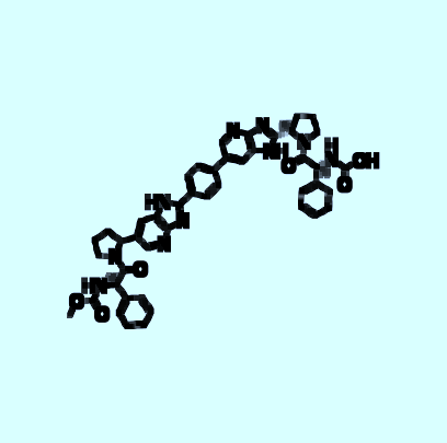 COC(=O)N[C@@H](C(=O)N1CCCC1c1cnc2nc(-c3ccc(-c4cnc5nc([C@@H]6CCCN6C(=O)[C@H](NC(=O)O)c6ccccc6)[nH]c5c4)cc3)[nH]c2c1)c1ccccc1